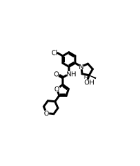 C[C@]1(O)CCN(c2ccc(Cl)cc2NC(=O)c2ccc(C3CCOCC3)o2)C1